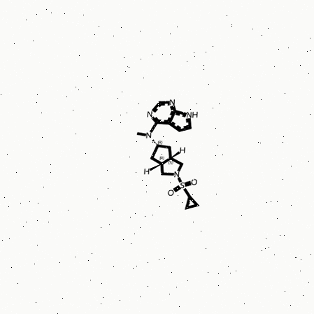 CN(c1ncnc2[nH]ccc12)[C@@H]1C[C@@H]2CN(S(=O)(=O)C3CC3)C[C@@H]2C1